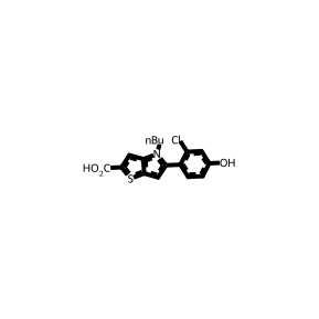 CCCCn1c(-c2ccc(O)cc2Cl)cc2sc(C(=O)O)cc21